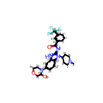 CN1CCC(n2/c(=N/C(=O)c3cccc(C(F)(F)F)c3)[nH]c3cc(N4CCOCC4=O)ccc32)CC1